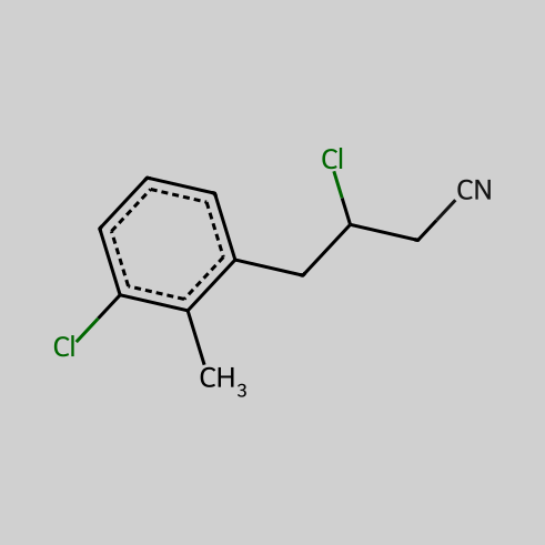 Cc1c(Cl)cccc1CC(Cl)CC#N